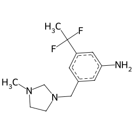 CN1CCN(Cc2cc(N)cc(C(C)(F)F)c2)C1